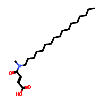 CCCCCCCCCCCCCCCCCN(C)C(=O)/C=C/C(=O)O